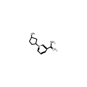 C=C(N)c1ccc[n+](C2CCC(CCC)C2)c1